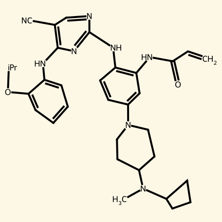 C=CC(=O)Nc1cc(N2CCC(N(C)C3CCC3)CC2)ccc1Nc1ncc(C#N)c(Nc2ccccc2OC(C)C)n1